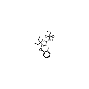 CCC1(CC)O[C@@H](Cc2ccccc2Cl)[C@@H](NS(=O)(=O)OC)O1